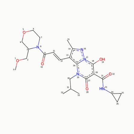 COCC1COCCN1C(=O)C=Cc1c(C)nn2c(O)c(C(=O)NC3CC3)c(=O)n(CC(C)C)c12